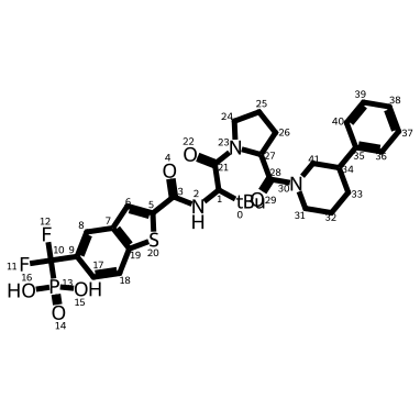 CC(C)(C)C(NC(=O)c1cc2cc(C(F)(F)P(=O)(O)O)ccc2s1)C(=O)N1CCCC1C(=O)N1CCCC(c2ccccc2)C1